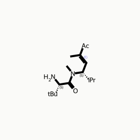 CC(=O)/C(C)=C/[C@H](C(C)C)N(C)C(=O)[C@@H](N)C(C)(C)C